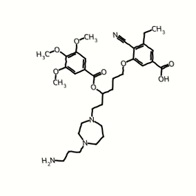 CCc1cc(C(=O)O)cc(OCCCC(CCN2CCCN(CCCN)CC2)OC(=O)c2cc(OC)c(OC)c(OC)c2)c1C#N